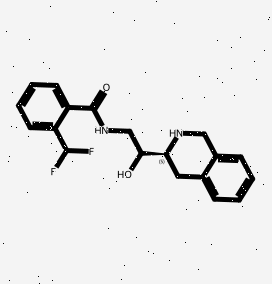 O=C(NCC(O)[C@@H]1Cc2ccccc2CN1)c1ccccc1C(F)F